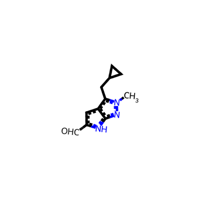 Cn1nc2[nH]c(C=O)cc2c1CC1CC1